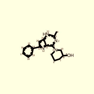 Cc1nc(N2CCCC(O)C2)c2nc(-c3ccccc3)cc-2[nH]1